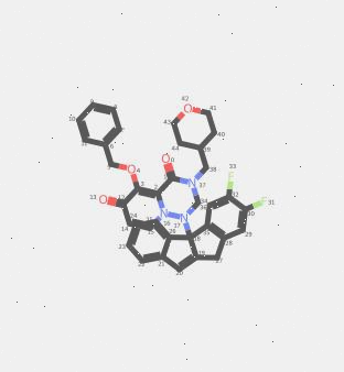 O=C1c2c(OCc3ccccc3)c(=O)ccn2N(C23C(=Cc4ccccc42)Cc2cc(F)c(F)cc23)CN1CC1CCOCC1